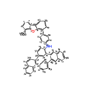 CC(C)(C)c1cccc2c1oc1c(-c3ccc(Nc4ccc(-c5ccc6ccccc6c5)cc4-c4cc5ccccc5cc4-c4ccccc4)cc3)cccc12